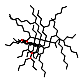 CCCCCCCCC(CCCC)CC(CC(CCC)CCCCC)(C(C)CC(CCC)CCCCC)C(CCC(CCCC)CCCCCCC)(CC(CCC)CCCCC)C(CCCC(CCCC)CCCCCC)(CC(CCC)CCCCC)C(CCC)([C](CC(CCC)CCCCC)CC(CCCCCC)CCCCCC)C(CCCCCC)CCCCCCC